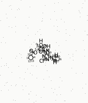 C=C[C@@]1(O)[C@@H](COC(=O)c2ccccc2)O[C@@H](n2ncc3c(N4C[C@H]5CCC[C@H]5C4)nc(Cl)nc32)[C@@H]1O